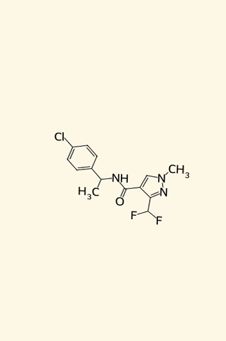 CC(NC(=O)c1cn(C)nc1C(F)F)c1ccc(Cl)cc1